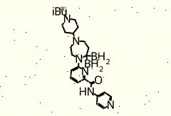 BC1(B)CCN(C2CCN([C@H](C)CC)CC2)CCN1c1cccc(C(=O)Nc2ccncc2)n1